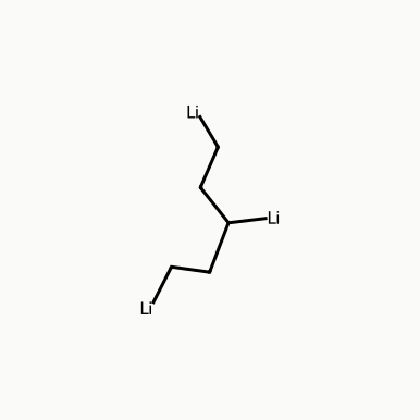 [Li][CH2]C[CH]([Li])C[CH2][Li]